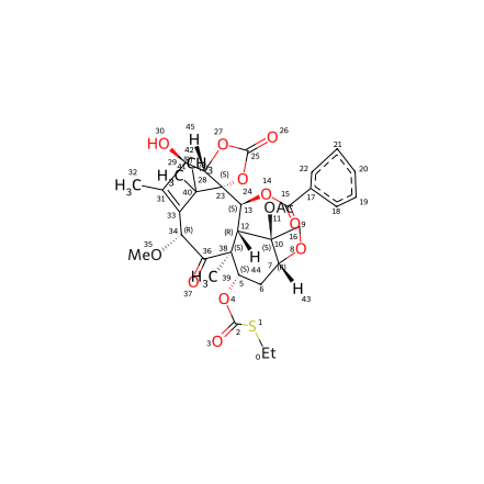 CCSC(=O)O[C@H]1C[C@H]2OC[C@@]2(OC(C)=O)[C@H]2[C@H](OC(=O)c3ccccc3)[C@]34OC(=O)O[C@H]3[C@H](O)C(C)=C([C@@H](OC)C(=O)[C@]12C)C4(C)C